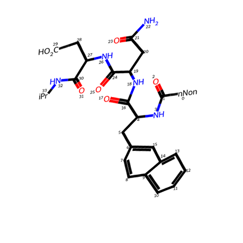 CCCCCCCCCC(=O)NC(Cc1ccc2ccccc2c1)C(=O)NC(CC(N)=O)C(=O)NC(CC(=O)O)C(=O)NC(C)C